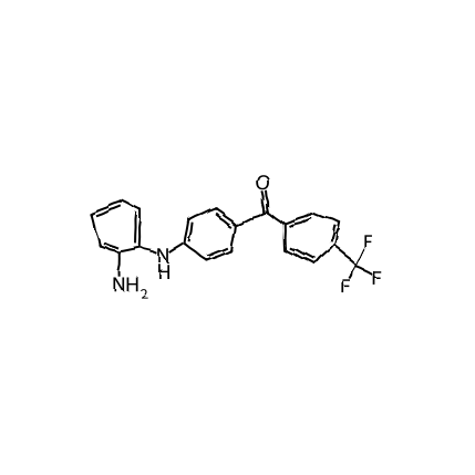 Nc1ccccc1Nc1ccc(C(=O)c2ccc(C(F)(F)F)cc2)cc1